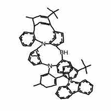 Cc1c2cccc1N1c3cc(ccc3Bc3ccc(-n4c5ccccc5c5ccccc54)cc3N2C2=CC(C)CC=C2c2ccc(C(C)(C)C)cc2)C2=CC(c3ccccc31)C(C)C=C2C(C)(C)C